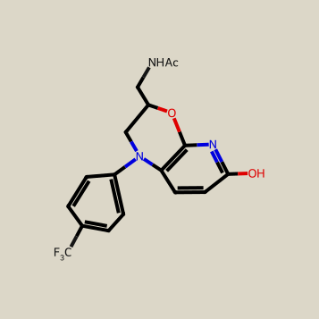 CC(=O)NCC1CN(c2ccc(C(F)(F)F)cc2)c2ccc(O)nc2O1